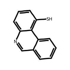 Sc1cccc2ncc3ccccc3c12